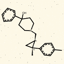 Cc1ccc([C@]2(C)C[C@H]2CN2CCC(O)(c3ccccc3)CC2)cc1